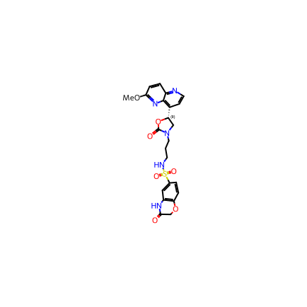 COc1ccc2nccc([C@@H]3CN(CCCNS(=O)(=O)c4ccc5c(c4)NC(=O)CO5)C(=O)O3)c2n1